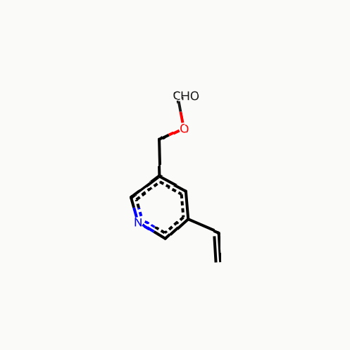 C=Cc1cncc(COC=O)c1